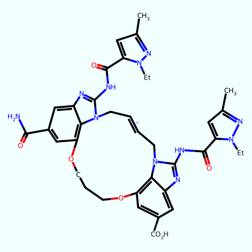 CCn1nc(C)cc1C(=O)Nc1nc2cc(C(N)=O)cc3c2n1C/C=C/Cn1c(NC(=O)c2cc(C)nn2CC)nc2cc(C(=O)O)cc(c21)OCCCO3